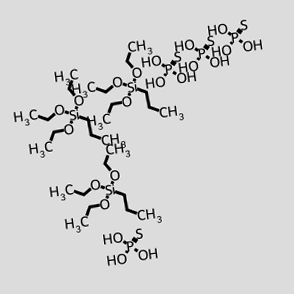 CCC[Si](OCC)(OCC)OCC.CCC[Si](OCC)(OCC)OCC.CCC[Si](OCC)(OCC)OCC.OP(O)(O)=S.OP(O)(O)=S.OP(O)(O)=S.OP(O)(O)=S